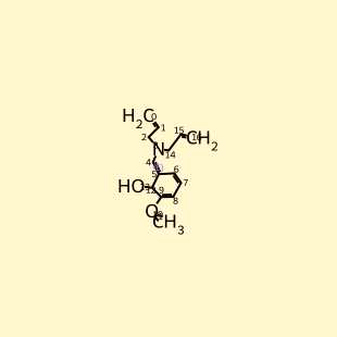 C=CCN(/C=C1\C=CC=C(OC)C1O)CC=C